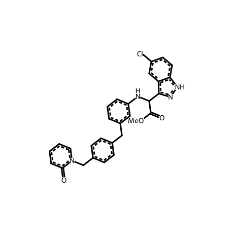 COC(=O)C(Nc1cccc(Cc2ccc(Cn3ccccc3=O)cc2)c1)c1n[nH]c2ccc(Cl)cc12